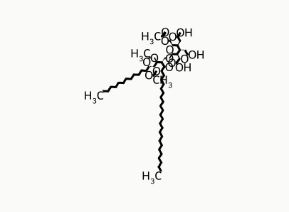 CCCCCCCCCCCCCCCCCCCCCCCCCC(=O)[C@@H](CO[C@H]1O[C@@H](COC(C)=O)[C@@H](CC(=O)O)[C@H](CC(=O)O)[C@H]1CC(=O)O)[C@H](OC(C)=O)[C@@H](CCCCCCCCCCCCCC)OC(C)=O